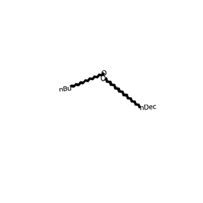 CCCCC=CC=CC=CCCCCCCCC(=O)OCCCCCCCCCCCCCCCCCCCCCCCCCCCC